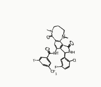 CN1CCCN(C)c2c(cc(NC(=O)c3cc(F)cc(C(F)(F)F)c3)c3c2C(=O)NC3c2cc(F)ccc2Cl)C1=O